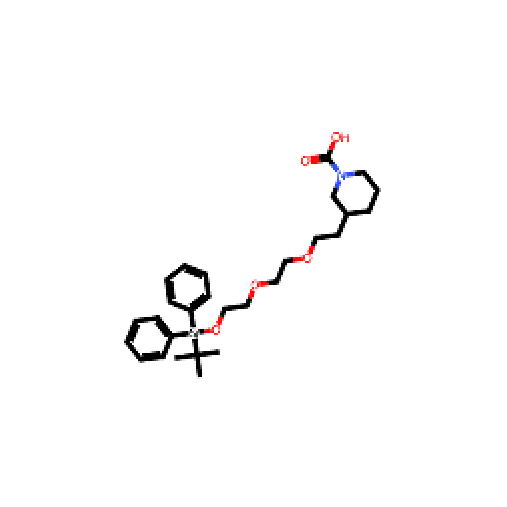 CC(C)(C)[Si](OCCOCCOCCC1CCCN(C(=O)O)C1)(c1ccccc1)c1ccccc1